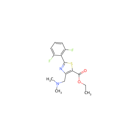 CCOC(=O)c1sc(-c2c(F)cccc2F)nc1CN(C)C